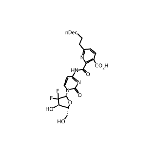 CCCCCCCCCCCCc1ccc(C(=O)O)c(C(=O)Nc2ccn([C@@H]3O[C@H](CO)[C@@H](O)C3(F)F)c(=O)n2)n1